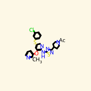 CC(=O)N1CCC(c2nsc(Nc3ncc(Sc4cccc(Cl)c4)cc3Oc3cccnc3C)n2)CC1